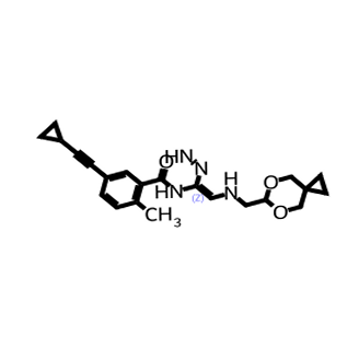 Cc1ccc(C#CC2CC2)cc1C(=O)N/C(=C/NCC1OCC2(CC2)CO1)N=N